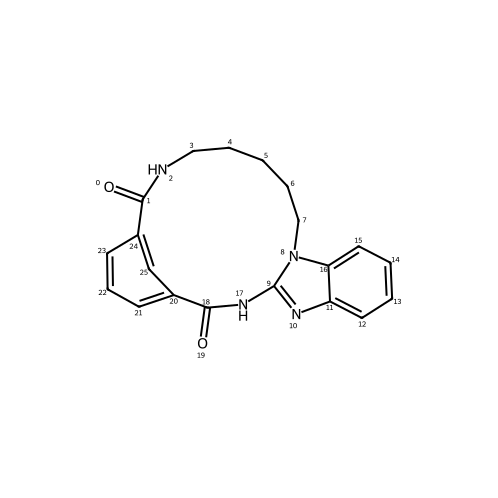 O=C1NCCCCCn2c(nc3ccccc32)NC(=O)c2cccc1c2